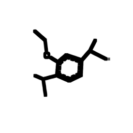 [CH2]C(C)c1ccc(C(C)C)c(OCC)c1